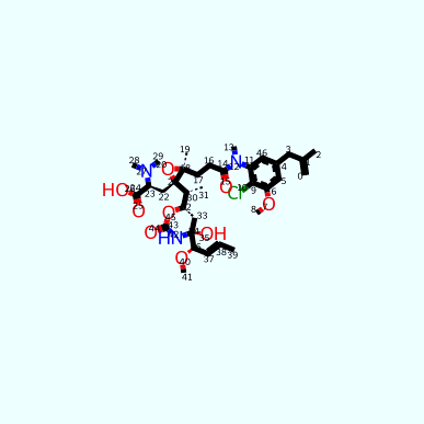 C=C(C)Cc1cc(OC)c(Cl)c(N(C)C(=O)CC[C@]2(C)O[C@@]2(C[C@@H](C(=O)O)N(C)C)[C@H](C)[C@@H]2C[C@](O)([C@@H](/C=C/C)OC)NC(=O)O2)c1